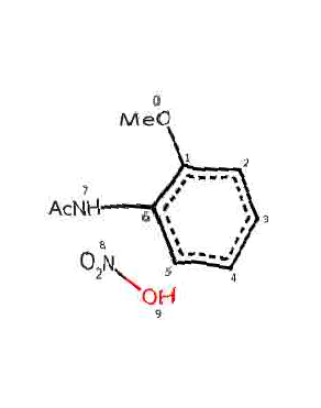 COc1ccccc1NC(C)=O.O=[N+]([O-])O